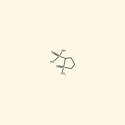 CP1(=O)CCCC1P(=O)(O)O